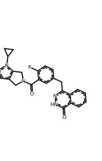 O=C(c1cc(Cc2n[nH]c(=O)c3ccccc23)ccc1F)N1Cc2cnn(C3CC3)c2C1